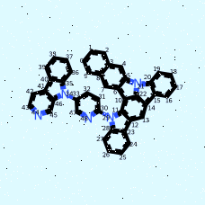 c1ccc2cc3c(cc2c1)c1c2c(cc4c5ccccc5n3c41)c1ccccc1n2-c1ccc(-n2c3ccccc3c3ccncc32)cn1